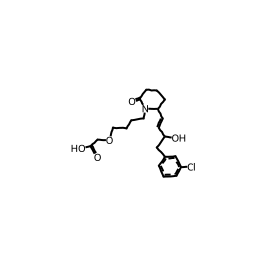 O=C(O)COCCCCN1C(=O)CCCC1C=CC(O)Cc1cccc(Cl)c1